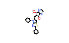 O=C1C(=Cc2cc3sc(-c4ccccc4)nc3n2-c2ccccc2)C(=O)c2nccnc21